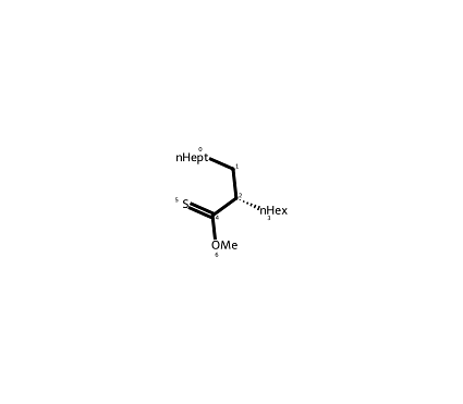 CCCCCCCC[C@H](CCCCCC)C(=S)OC